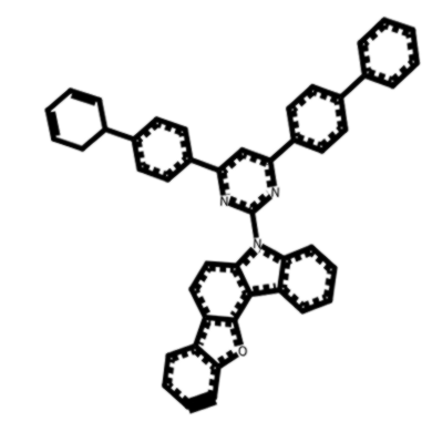 c1ccc2c(c#1)oc1c2ccc2c1c1ccccc1n2-c1nc(-c2ccc(-c3ccccc3)cc2)cc(-c2ccc(C3C=CC=CC3)cc2)n1